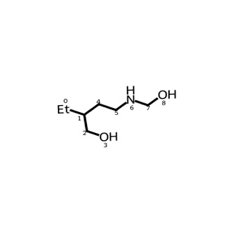 CCC(CO)CCNCO